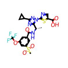 C[C@H](NC(=O)c1cc(OC(F)(F)F)cc(S(C)(=O)=O)c1)c1nc(C2CC2)nn1-c1ncc(C(=O)O)s1